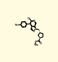 CC(C)(C)OC(=O)N1CC[C@@H](Cn2ncc3c(-c4ccc(C#N)cc4)c(Cl)ncc32)C1